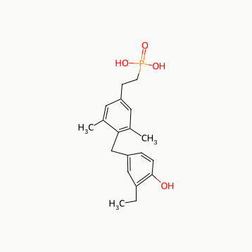 CCc1cc(Cc2c(C)cc(CCP(=O)(O)O)cc2C)ccc1O